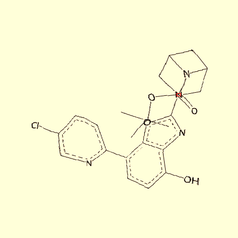 CC(C)(C)OC(=O)N1C2CC1CN(c1nc3c(O)ccc(-c4ccc(Cl)cn4)c3o1)C2